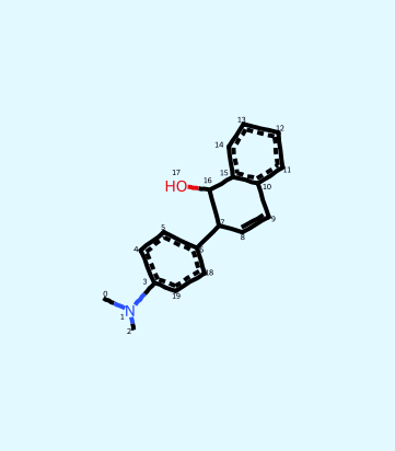 CN(C)c1ccc(C2C=Cc3ccccc3C2O)cc1